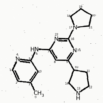 Cc1ccnc(Nc2cc(C3CCNC3)nc(N3CCCC3)n2)c1